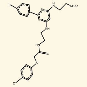 CC(=O)NCCNc1cc(NCCNC(=O)CSc2ccc(Cl)cc2)nc(-c2ccc(Cl)cc2)n1